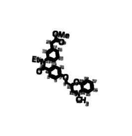 CCN(C(=O)c1ccc(OC[C@@H]2CN(C)c3ccccc3O2)cc1)c1cccc(CC(=O)OC)c1